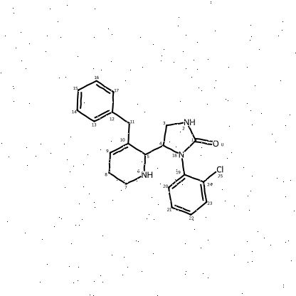 O=C1NCC(C2NCCC=C2Cc2ccccc2)N1c1ccccc1Cl